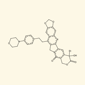 CCC1(O)C(=O)OCc2c1cc1n(c2=O)Cc2c-1nc1cc3c(cc1c2CCc1ccc(N2CCOCC2)cc1)OCO3